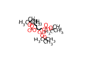 CCCC(OC(=O)OOC(C)(C)C)C(COC(=O)OOC(C)(C)C)OC(=O)OOC(C)(C)C